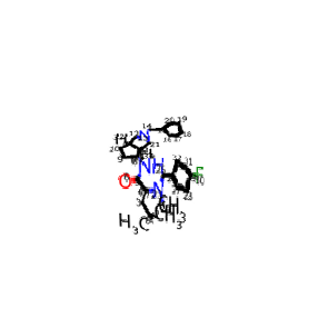 CC(C)C[C@@H](C(=O)N[C@@H]1CC[C@H]2CN(Cc3ccccc3)C[C@H]21)N(C)Cc1ccc(F)cc1